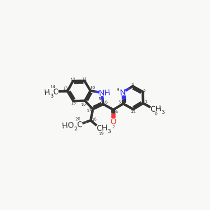 Cc1ccnc(C(=O)c2[nH]c3ccc(C)cc3c2C(C)C(=O)O)c1